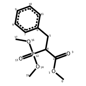 COC(=O)C(Cc1ccccc1)P(=O)(OC)OC